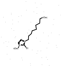 CCCCCCCCCCCCCCCCCCn1cc[n+](CCCCCCCCCC)c1CC